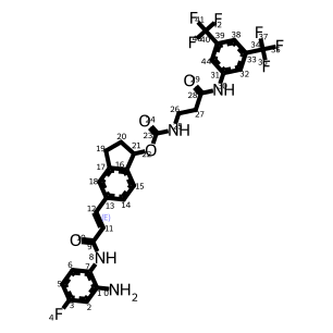 Nc1cc(F)ccc1NC(=O)/C=C/c1ccc2c(c1)CCC2OC(=O)NCCC(=O)Nc1cc(C(F)(F)F)cc(C(F)(F)F)c1